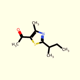 CCC(C)c1nc(C)c(C(C)=O)s1